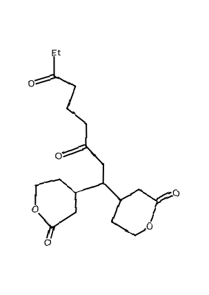 CCC(=O)CCCC(=O)CC(C1CCOC(=O)C1)C1CCOC(=O)C1